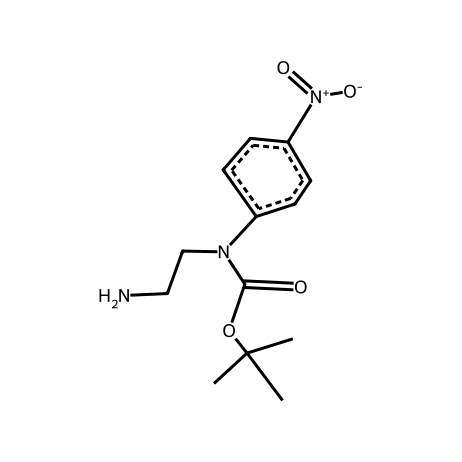 CC(C)(C)OC(=O)N(CCN)c1ccc([N+](=O)[O-])cc1